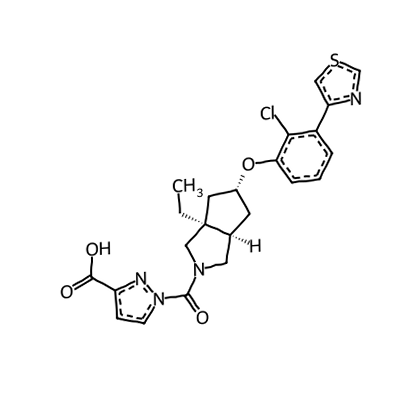 CC[C@]12C[C@H](Oc3cccc(-c4cscn4)c3Cl)C[C@H]1CN(C(=O)n1ccc(C(=O)O)n1)C2